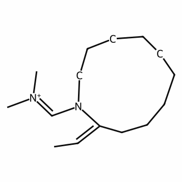 C/C=C1/CCCCCCCCCN1C=[N+](C)C